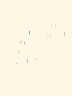 CCN(CC)CCCC(C)Nc1cc(C)nc(N2CCOCC2)n1